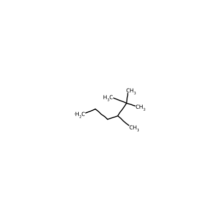 [CH2]CCC(C)C(C)(C)C